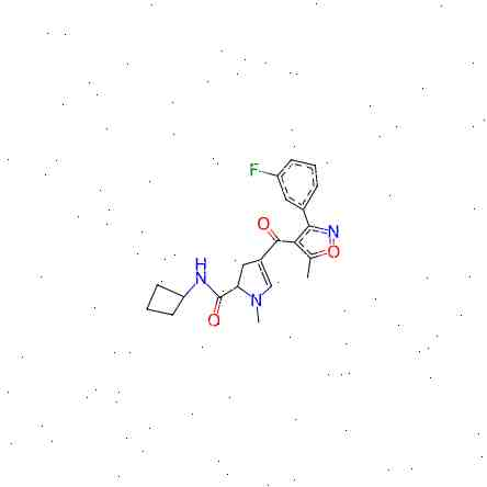 Cc1onc(-c2cccc(F)c2)c1C(=O)C1=CN(C)C(C(=O)NC2CCC2)C1